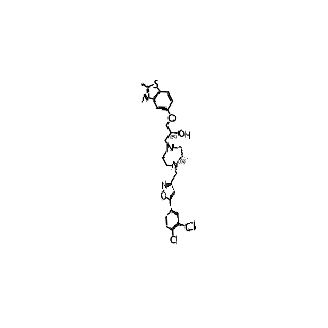 Cc1nc2cc(OC[C@@H](O)CN3CCN(Cc4cc(-c5ccc(Cl)c(Cl)c5)on4)[C@@H](C)C3)ccc2s1